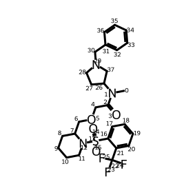 CN(C(=O)COCC1CCCCN1S(=O)(=O)c1ccccc1C(F)(F)F)C1CCN(Cc2ccccc2)C1